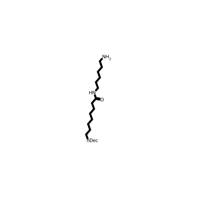 CCCCCCCCCCCCCCCCCC(=O)NCCCCCCN